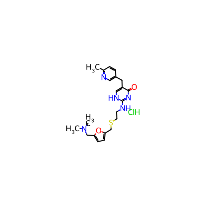 Cc1ccc(Cc2c[nH]c(NCCSCc3ccc(CN(C)C)o3)nc2=O)cn1.Cl